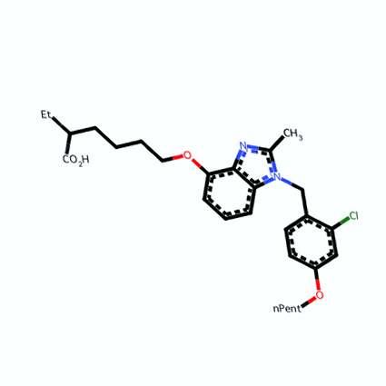 CCCCCOc1ccc(Cn2c(C)nc3c(OCCCCC(CC)C(=O)O)cccc32)c(Cl)c1